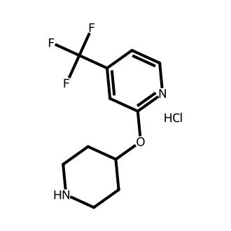 Cl.FC(F)(F)c1ccnc(OC2CCNCC2)c1